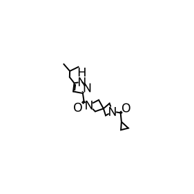 CC(C)Cc1cc(C(=O)N2CC3(C2)CN(C(=O)C2CC2)C3)n[nH]1